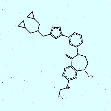 CCNc1ncc2c(n1)N(C)CCN(c1cccc(-n3cc(CN(CC4CC4)CC4CC4)nn3)c1)C2=O